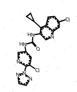 O=C(Nc1cnc(-n2nccn2)c(Cl)c1)Nc1cnc2cc(Cl)ccc2c1C1CC1